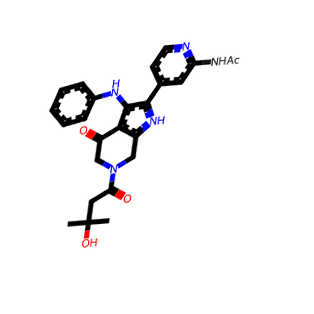 CC(=O)Nc1cc(-c2[nH]c3c(c2Nc2ccccc2)C(=O)CN(C(=O)CC(C)(C)O)C3)ccn1